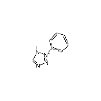 c1ccc(-[n+]2nnc[nH]2)cc1